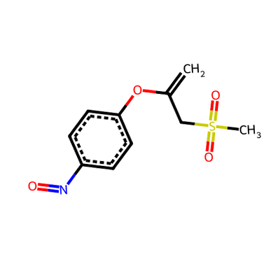 C=C(CS(C)(=O)=O)Oc1ccc(N=O)cc1